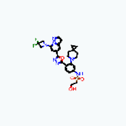 O=S(=O)(CCO)Nc1ccc(-c2nnc(-c3cc(N4CC(F)(F)C4)n4nccc4c3)o2)c(N2CCC3(CC2)CC3)c1